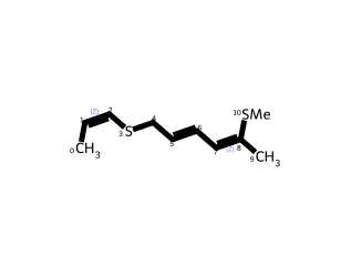 C/C=C\SCC=C/C=C(/C)SC